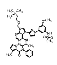 COc1cc(NS(C)(=O)=O)cc(-n2ccc(-c3cn(COCC[Si](C)(C)C)c4ncnc(NC(C)c5nn6ccc(C)c6c(=O)n5-c5ccccc5)c34)n2)c1